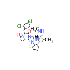 CNCCNC(CC(C)C)c1cccc(F)c1N1CCN(C(=O)C(Cc2ccc(Cl)cc2Cl)N2CCCC2=O)CC1